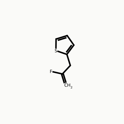 C=C(F)Cc1cccs1